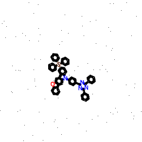 c1ccc(-c2nc(-c3ccccc3)nc(-c3ccc(-n4c5ccc(S(c6ccccc6)(c6ccccc6)c6ccccc6)cc5c5cc6oc7ccccc7c6cc54)cc3)n2)cc1